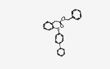 O=C(Cc1ccccc1Sc1ccc(-c2ccccc2)cc1)OCc1ccccc1